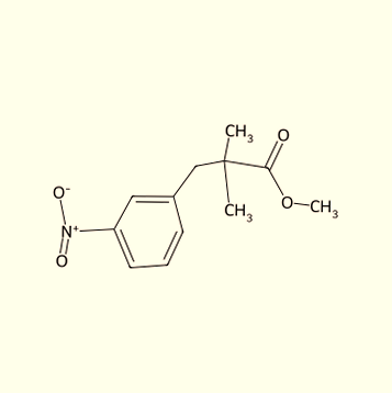 COC(=O)C(C)(C)Cc1cccc([N+](=O)[O-])c1